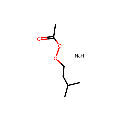 CC(=O)OOCCC(C)C.[NaH]